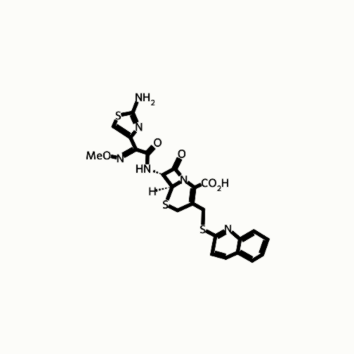 CON=C(C(=O)N[C@@H]1C(=O)N2C(C(=O)O)=C(CSc3ccc4ccccc4n3)CS[C@@H]12)c1csc(N)n1